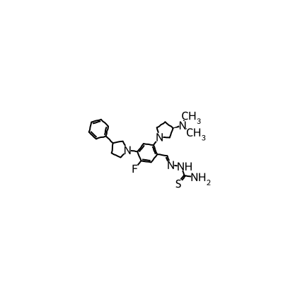 CN(C)[C@@H]1CCN(c2cc(N3CCC(c4ccccc4)C3)c(F)cc2C=NNC(N)=S)C1